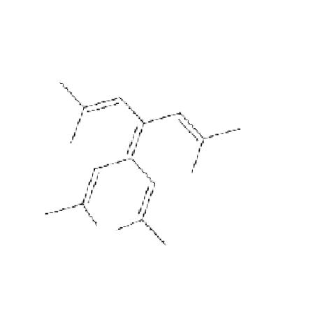 CC(C)=CC(C=C(C)C)=C(C=C(C)C)C=C(C)C